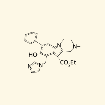 CCOC(=O)c1c(CN(C)C)n(C)c2cc(-c3ccccc3)c(O)c(Cn3ccnc3)c12